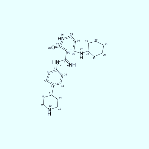 N=C(Nc1ccc(C2CCNCC2)cc1)c1c(NC2CCCCC2)cc[nH]c1=O